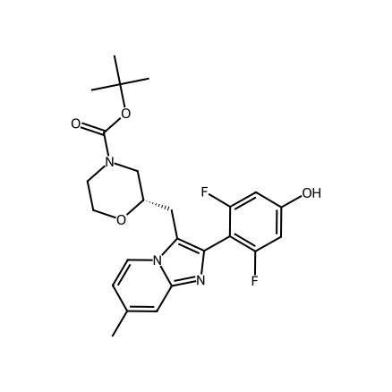 Cc1ccn2c(C[C@H]3CN(C(=O)OC(C)(C)C)CCO3)c(-c3c(F)cc(O)cc3F)nc2c1